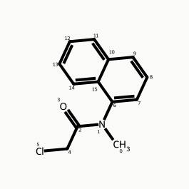 CN(C(=O)CCl)c1cccc2ccccc12